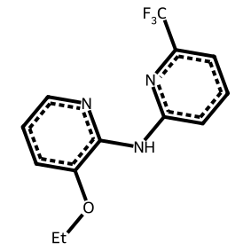 CCOc1cccnc1Nc1cccc(C(F)(F)F)n1